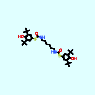 CC(C)(C)c1cc(SC(=O)NCCCCCCNC(=O)Sc2cc(C(C)(C)C)c(O)c(C(C)(C)C)c2)cc(C(C)(C)C)c1O